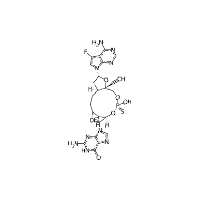 C#C[C@@]12COP(O)(=S)O[C@@H]3[C@H](F)C(CC[C@H]1C[C@H](n1cc(F)c4c(N)ncnc41)O2)O[C@H]3n1cnc2c(=O)[nH]c(N)nc21